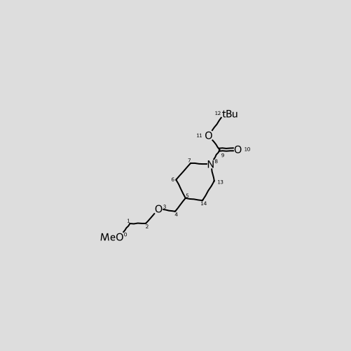 COCCOCC1CCN(C(=O)OC(C)(C)C)CC1